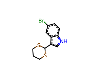 Brc1ccc2[nH]cc(C3SCCCS3)c2c1